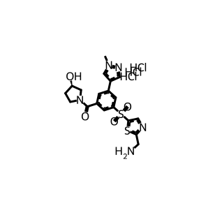 Cl.Cl.Cl.Cn1cc(-c2cc(C(=O)N3CC[C@@H](O)C3)cc(S(=O)(=O)c3cnc(CN)s3)c2)cn1